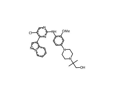 COc1cc(N2CCN(C(C)(C)CO)CC2)ccc1Nc1ncc(Cl)c(-c2cnn3ccccc23)n1